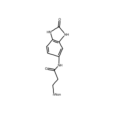 CCCCCCCCCCCC(=O)Nc1ccc2[nH]c(=O)[nH]c2c1